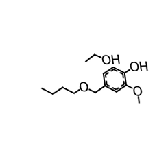 CCCCOCc1ccc(O)c(OC)c1.CCO